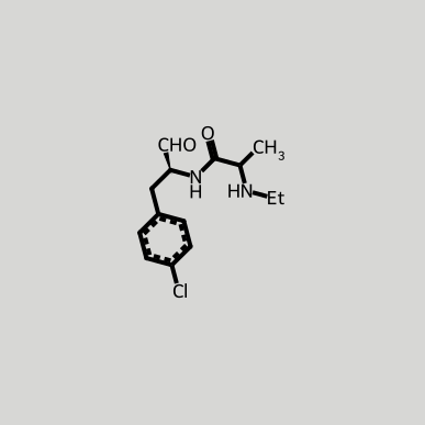 CCNC(C)C(=O)N[C@H](C=O)Cc1ccc(Cl)cc1